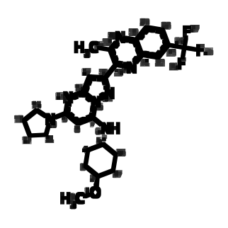 CO[C@H]1CC[C@H](Nc2cc(N3CCCC3)nc3cc(-c4nc5cc(C(F)(F)F)ccc5nc4C)nn23)CC1